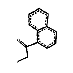 O=C(CI)c1cccc2ccccc12